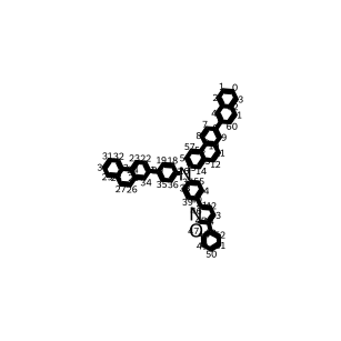 c1ccc2cc(-c3ccc4c(ccc5cc(N(c6ccc(-c7ccc8c(ccc9ccccc98)c7)cc6)c6ccc(-c7ccc8c(n7)oc7ccccc78)cc6)ccc54)c3)ccc2c1